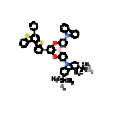 CC(C)(C)c1ccc2c(c1)c1cc(C(C)(C)C)ccc1n2-c1ccc2c(c1)Oc1cc(-c3cccc4c3sc3cc(-c5ccccc5)c5sc6ccccc6c5c34)cc3c1B2c1ccc(-n2c4ccccc4c4ccccc42)cc1O3